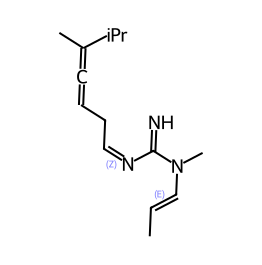 C/C=C/N(C)C(=N)/N=C\CC=C=C(C)C(C)C